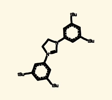 CC(C)(C)c1cc(N2C=[N+](c3cc(C(C)(C)C)cc(C(C)(C)C)c3)CC2)cc(C(C)(C)C)c1